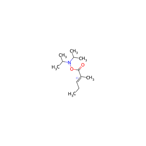 CC/C=C(\C)C(=O)ON(C(C)C)C(C)C